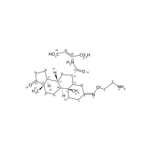 C[C@]12CC/C(=N/OCCN)CC1[C@@H](C(N)=O)C[C@@H]1[C@@H]2CC[C@]2(C)C(=O)CC[C@@H]12.O=C(O)/C=C/C(=O)O